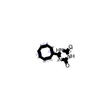 O=c1nc(C2=C/C=C\C=C/C=C\2)[nH]c(=O)[nH]1